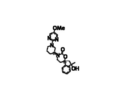 COc1cnc(N2CCC[C@H](N3CC[C@](CC(C)(C)O)(c4ccccc4)OC3=O)C2)nc1